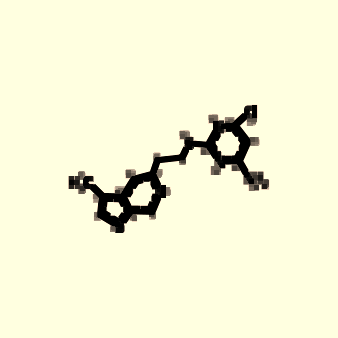 Cc1csc2cnc(CCSc3nc(N)cc(Cl)n3)cc12